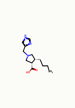 BCCC[C@H]1CN(Cc2c[nH]cn2)C[C@H]1C(=O)O